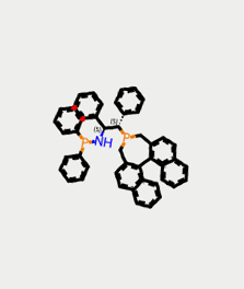 c1ccc([C@H](NP(c2ccccc2)c2ccccc2)[C@H](c2ccccc2)P2Cc3ccc4ccccc4c3-c3c(ccc4ccccc34)C2)cc1